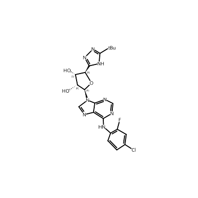 CC(C)(C)c1nnc([C@H]2O[C@@H](n3cnc4c(Nc5ccc(Cl)cc5F)ncnc43)[C@H](O)[C@@H]2O)[nH]1